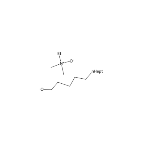 CCCCCCCCCCCC[O].CC[N+](C)(C)[O-]